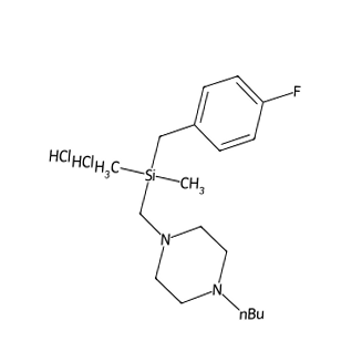 CCCCN1CCN(C[Si](C)(C)Cc2ccc(F)cc2)CC1.Cl.Cl